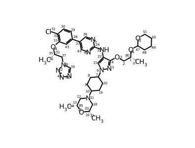 C[C@H](COc1nn(C2CCC(N3C[C@@H](C)O[C@@H](C)C3)CC2)cc1Nc1ncc(-c2ccc(Cl)c(O[C@@H](C)Cn3cnnn3)c2)cn1)OC1CCCCO1